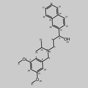 COc1cc(CN(CCC(O)c2ccc3ccccc3c2)C(C)C)cc(OC)c1